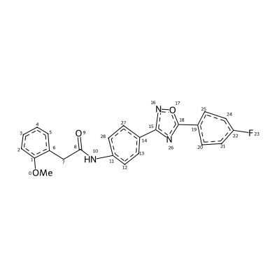 COc1ccccc1CC(=O)Nc1ccc(-c2noc(-c3ccc(F)cc3)n2)cc1